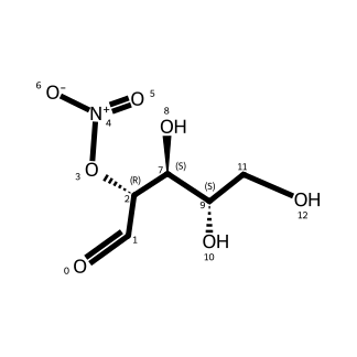 O=C[C@H](O[N+](=O)[O-])[C@@H](O)[C@@H](O)CO